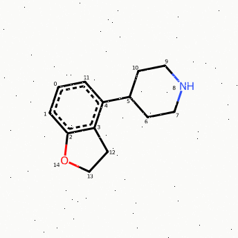 c1cc2c(c(C3CCNCC3)c1)CCO2